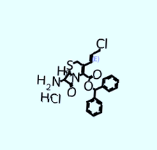 Cl.NC1C(=O)N2C(C(=O)OC(c3ccccc3)c3ccccc3)=C(/C=C/CCl)CS[C@H]12